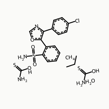 C.CCC.NC(O)=S.NC(O)=S.NS(=O)(=O)c1ccccc1-c1ocnc1-c1ccc(Cl)cc1.O